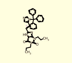 CCCn1c(=O)c2[nH]c(/C=C/c3cncn3C(c3ccccc3)(c3ccccc3)c3ccccc3)nc2n(CCC)c1=O